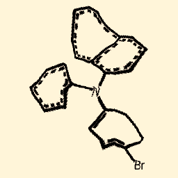 BrC1=CC=C(N(c2ccccc2)c2cccc3ccccc23)CC1